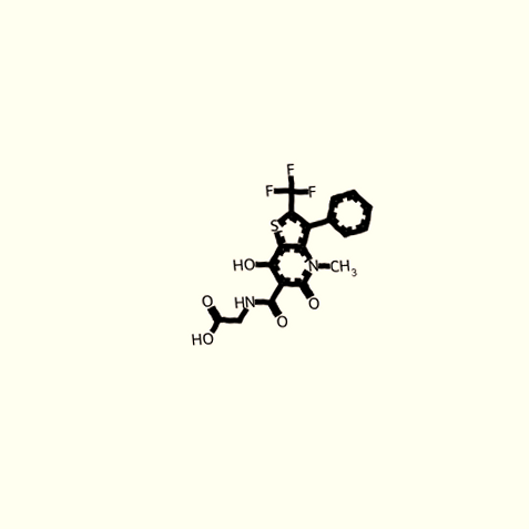 Cn1c(=O)c(C(=O)NCC(=O)O)c(O)c2sc(C(F)(F)F)c(-c3ccccc3)c21